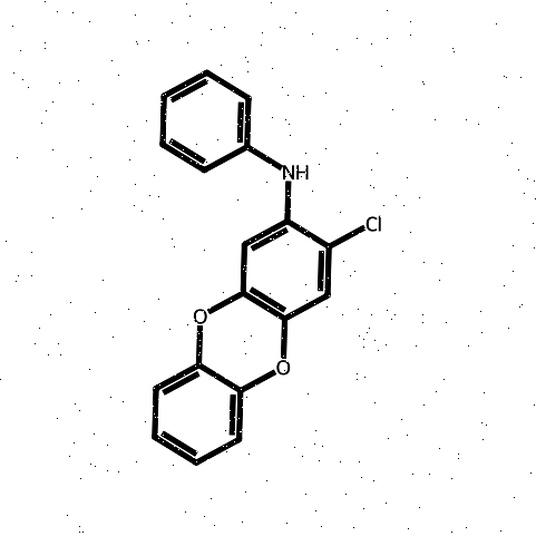 Clc1cc2c(cc1Nc1ccccc1)Oc1ccccc1O2